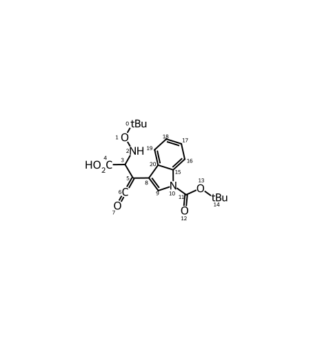 CC(C)(C)ONC(C(=O)O)C(=C=O)c1cn(C(=O)OC(C)(C)C)c2ccccc12